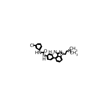 CN(C)CCn1nc(N)c2c(-c3ccc(NC(=O)Nc4cccc(Cl)c4)cc3)cccc21